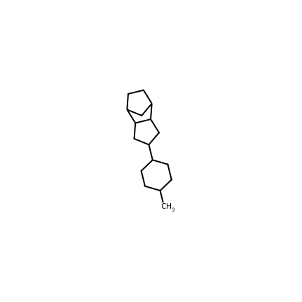 CC1CCC(C2CC3C4CCC(C4)C3C2)CC1